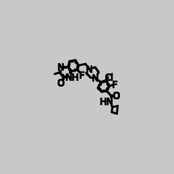 Cc1nc2ccc(CN3CCN(c4ccc(C(=O)NC5CCC5)c(F)c4Cl)CC3)c(F)c2[nH]c1=O